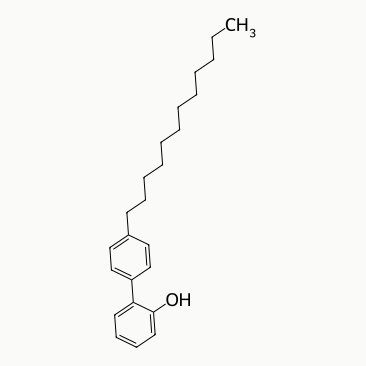 CCCCCCCCCCCCc1ccc(-c2ccccc2O)cc1